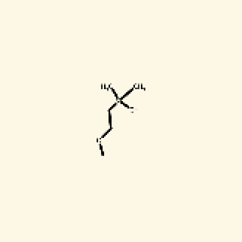 [C]OCC[Si](C)(C)C